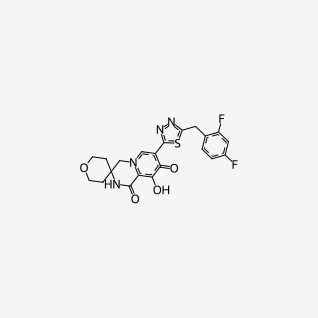 O=C1NC2(CCOCC2)Cn2cc(-c3nnc(Cc4ccc(F)cc4F)s3)c(=O)c(O)c21